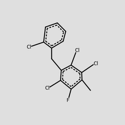 Cc1c(F)c(Cl)c(Cc2ccccc2Cl)c(Cl)c1Cl